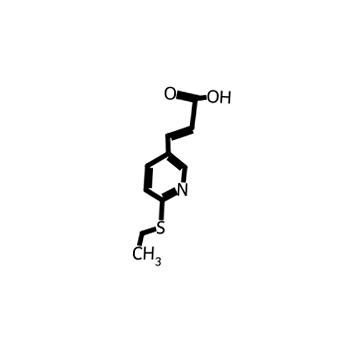 CCSc1ccc(C=CC(=O)O)cn1